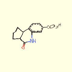 O=C(O)c1ccc2c(c1)NC(=O)C1CCCC21